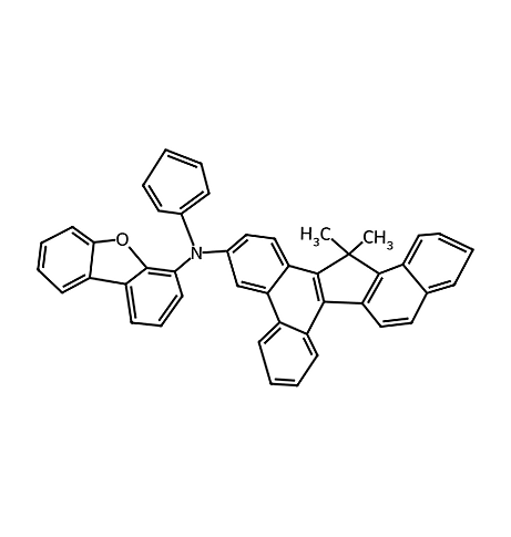 CC1(C)c2c(ccc3ccccc23)-c2c1c1ccc(N(c3ccccc3)c3cccc4c3oc3ccccc34)cc1c1ccccc21